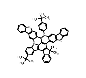 CC(C)(C)c1ccc(N2B3c4cc5sc6ccccc6c5cc4-n4c5ccc(C(C)(C)C)cc5c5c6c(c(c3c54)-c3cc4oc5ccccc5c4cc32)C(C)(C)c2ccccc2-6)cc1